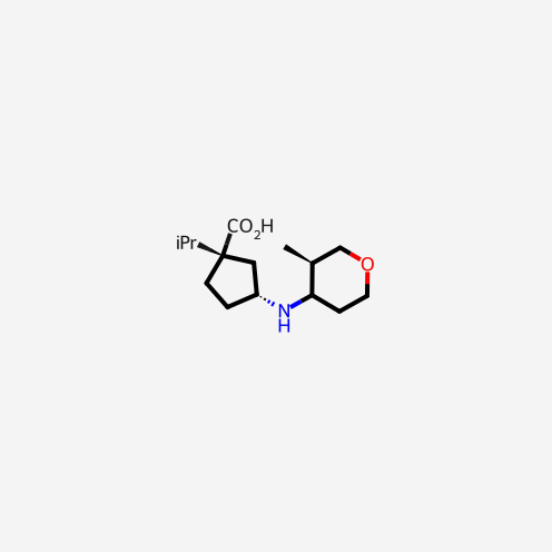 CC(C)[C@]1(C(=O)O)CC[C@@H](NC2CCOC[C@@H]2C)C1